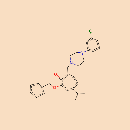 CC(C)c1ccc(CN2CCN(c3cccc(Cl)c3)CC2)c(=O)c(OCc2ccccc2)c1